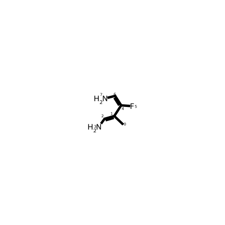 CC(=C\N)/C(F)=C\N